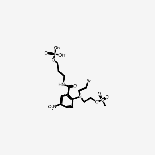 CS(=O)(=O)OCCN(CCBr)c1ccc([N+](=O)[O-])cc1C(=O)NCCCOP(=O)(O)O